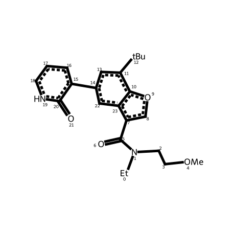 CCN(CCOC)C(=O)c1coc2c(C(C)(C)C)cc(-c3ccc[nH]c3=O)cc12